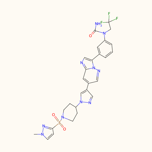 Cn1ccc(S(=O)(=O)N2CCC(n3cc(-c4cnn5c(-c6cccc(N(CC(F)(F)F)C(N)=O)c6)cnc5c4)cn3)CC2)n1